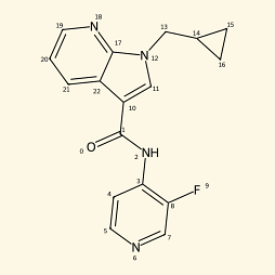 O=C(Nc1ccncc1F)c1cn(CC2CC2)c2ncccc12